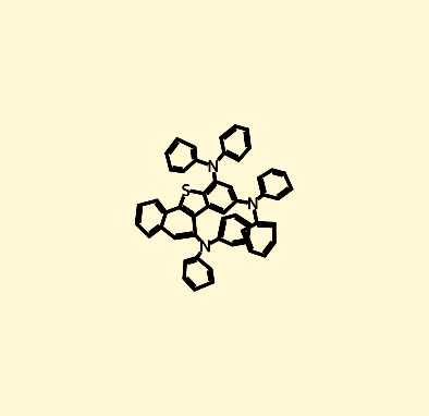 c1ccc(N(c2ccccc2)c2cc(N(c3ccccc3)c3ccccc3)c3sc4c5ccccc5cc(N(c5ccccc5)c5ccccc5)c4c3c2)cc1